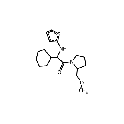 COCC1CCCN1C(=O)C(Nc1cccs1)C1CCCCC1